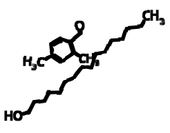 CCCCCCCCCCCCCCCCO.Cc1ccc(C=O)c(C)c1